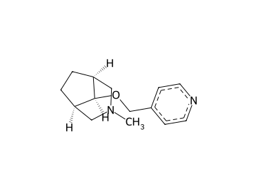 CN1C[C@H]2CC[C@@H](C1)[C@H]2OCc1ccncc1